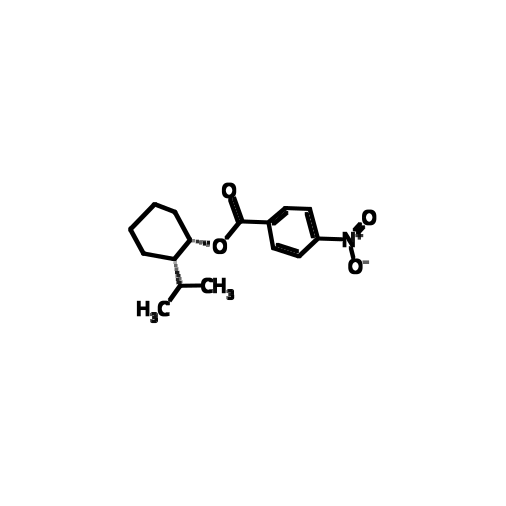 CC(C)[C@@H]1CCCC[C@@H]1OC(=O)c1ccc([N+](=O)[O-])cc1